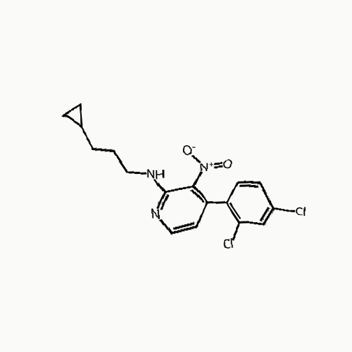 O=[N+]([O-])c1c(-c2ccc(Cl)cc2Cl)ccnc1NCCCC1CC1